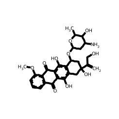 C=C(CO)C1(O)Cc2c(O)c3c(c(O)c2C(OC2CC(N)C(O)C(C)O2)C1)C(=O)c1c(OC)cccc1C3=O